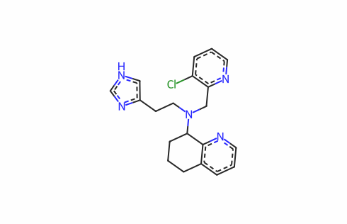 Clc1cccnc1CN(CCc1c[nH]cn1)C1CCCc2cccnc21